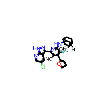 N#Cc1c(-c2n[nH]c3ncc(Cl)cc23)nc(N[C@H]2C3CCC(CC3)[C@@H]2C(=O)O)c(F)c1-c1ccco1